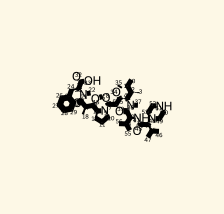 CC[C@H](C)[C@@H](C(CC(=O)N1CCC[C@H]1[C@H](OC)[C@@H](C)C(=O)N(C)[C@@H](Cc1ccccc1)C(=O)O)OC)N(C)C(=O)[C@@H](NC(=O)[C@H](C(C)C)N1CCNCC1)C(C)C